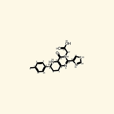 Cc1ccc([C@@H]2CCc3nc(-c4cscn4)n(CC(=O)O)c(=O)c3N2)cc1